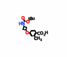 Cc1cc(OC2CC(NC(=O)OC(C)(C)C)C2)ccc1C(=O)O